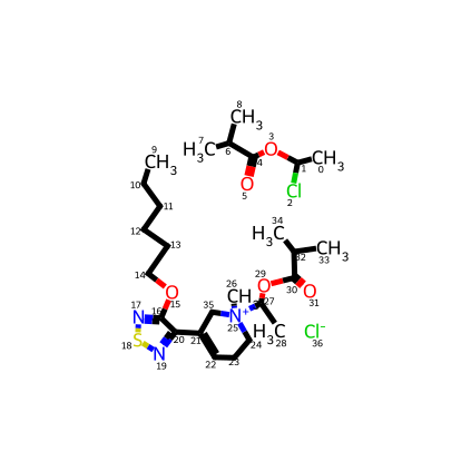 CC(Cl)OC(=O)C(C)C.CCCCCCOc1nsnc1C1=CCC[N+](C)(C(C)OC(=O)C(C)C)C1.[Cl-]